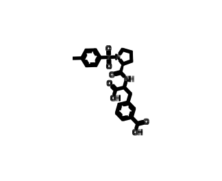 Cc1ccc(S(=O)(=O)N2CCC[C@H]2C(=O)NC(Cc2cccc(C(=O)O)c2)C(=O)O)cc1